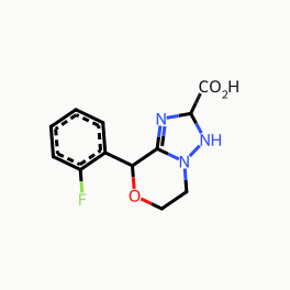 O=C(O)C1N=C2C(c3ccccc3F)OCCN2N1